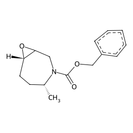 C[C@@H]1CC[C@@H]2OC2CN1C(=O)OCc1ccccc1